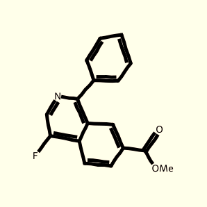 COC(=O)c1ccc2c(F)cnc(-c3ccccc3)c2c1